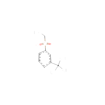 CCC(C)(C)c1cccc(S(=O)(=O)CC(F)(F)F)c1